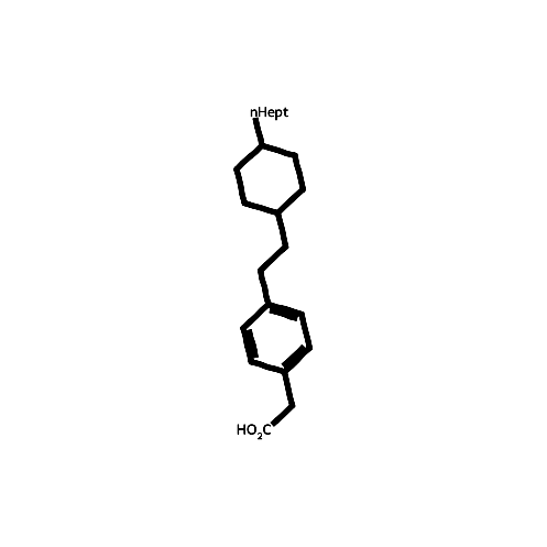 CCCCCCCC1CCC(CCc2ccc(CC(=O)O)cc2)CC1